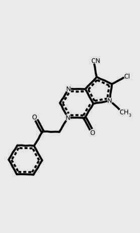 Cn1c(Cl)c(C#N)c2ncn(CC(=O)c3ccccc3)c(=O)c21